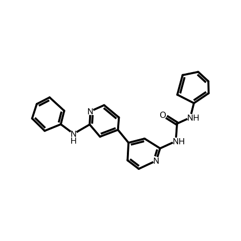 O=C(Nc1ccccc1)Nc1cc(-c2ccnc(Nc3ccccc3)c2)ccn1